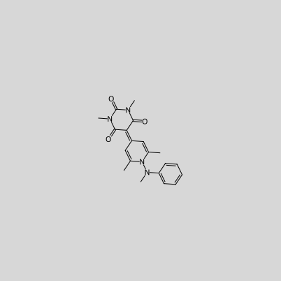 CC1=CC(=C2C(=O)N(C)C(=O)N(C)C2=O)C=C(C)N1N(C)c1ccccc1